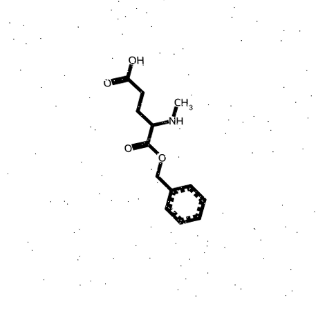 CNC(CCC(=O)O)C(=O)OCc1ccccc1